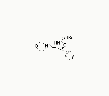 CC(C)(C)OC(=O)N[C@H](CCN1CCCOCC1)CSc1ccccc1